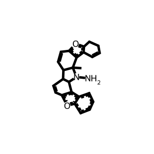 CC12c3c(oc4c3C=CCC4)C=CC1C1C=Cc3oc4ccccc4c3C1N2N